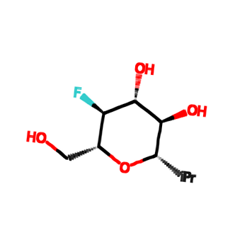 CC(C)[C@@H]1O[C@H](CO)[C@@H](F)[C@H](O)[C@H]1O